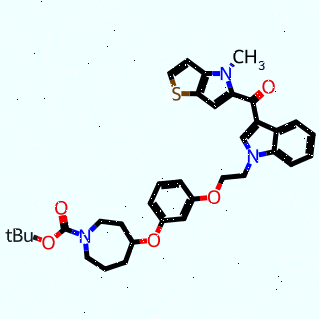 Cn1c(C(=O)c2cn(CCOc3cccc(OC4CCCN(C(=O)OC(C)(C)C)CC4)c3)c3ccccc23)cc2sccc21